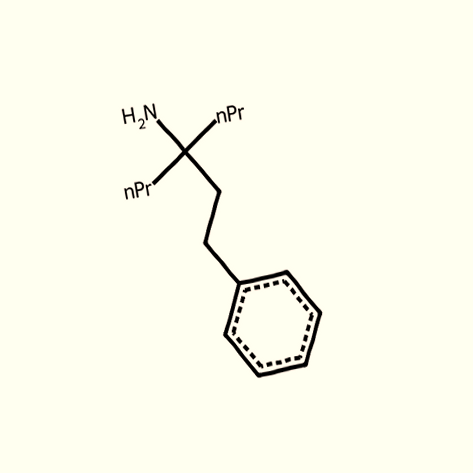 CCCC(N)(CCC)CCc1ccccc1